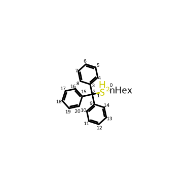 CCCCCC[SH2]C(c1ccccc1)(c1ccccc1)c1ccccc1